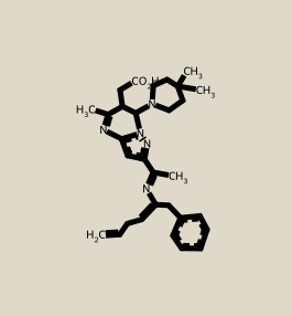 C=CC/C=C(Cc1ccccc1)\N=C(/C)c1cc2n(n1)C(N1CCC(C)(C)CC1)C(CC(=O)O)C(C)=N2